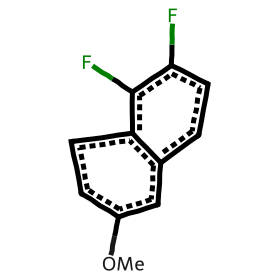 COc1ccc2c(F)c(F)ccc2c1